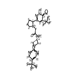 O=C(CN1CCCC1c1cc(C(F)(F)F)c(=O)[nH]n1)NC1CN(c2ncc(C(F)(F)F)cn2)C1